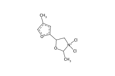 Cc1coc(C2C[N+](Cl)(Cl)C(C)O2)c1